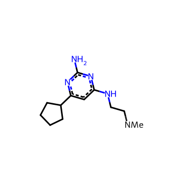 CNCCNc1cc(C2CCCC2)nc(N)n1